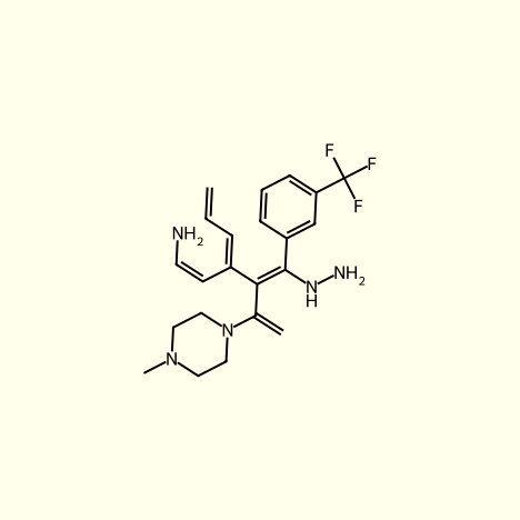 C=C/C=C(\C=C/N)C(/C(=C)N1CCN(C)CC1)=C(/NN)c1cccc(C(F)(F)F)c1